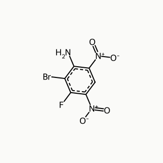 Nc1c([N+](=O)[O-])cc([N+](=O)[O-])c(F)c1Br